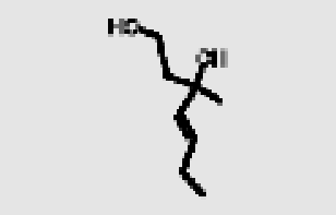 CCC=CC(C)(O)CCO